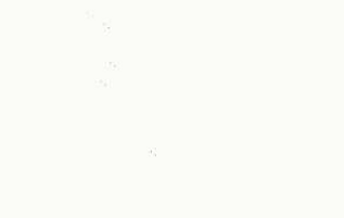 CCN(CCCOS(=O)(=O)[O-])c1ccc(N=Nc2scn[n+]2C)cc1